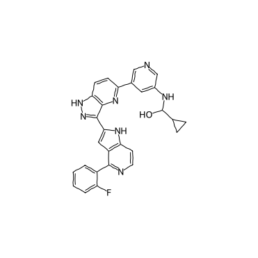 OC(Nc1cncc(-c2ccc3[nH]nc(-c4cc5c(-c6ccccc6F)nccc5[nH]4)c3n2)c1)C1CC1